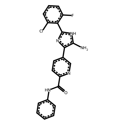 Nc1[nH]c(-c2c(F)cccc2Cl)nc1-c1ccc(C(=O)Nc2ccccc2)nc1